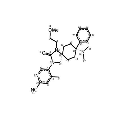 COCCN1C(=O)N(c2cnc(C#N)cc2C)C[C@]12CC[C@@](c1ccccc1)(N(C)C)CC2